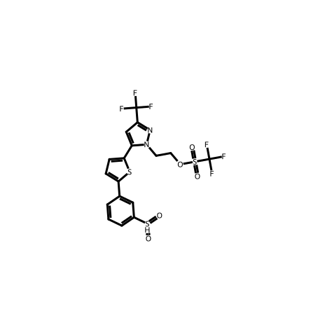 O=[SH](=O)c1cccc(-c2ccc(-c3cc(C(F)(F)F)nn3CCOS(=O)(=O)C(F)(F)F)s2)c1